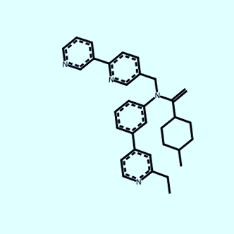 C=C(C1CCC(C)CC1)N(Cc1ccc(-c2cccnc2)nc1)c1cccc(-c2ccnc(CC)c2)c1